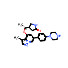 Cc1cnn2cc(-c3ccc(N4CCNCC4)cc3)cc(O[C@H](C)C3CNC(=O)C3)c12